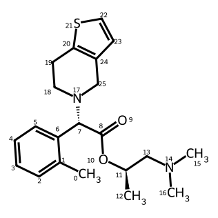 Cc1ccccc1[C@@H](C(=O)O[C@H](C)CN(C)C)N1CCc2sccc2C1